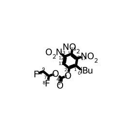 CCC(C)c1c(OC(=O)OC(F)CF)cc([N+](=O)[O-])c([N+](=O)[O-])c1[N+](=O)[O-]